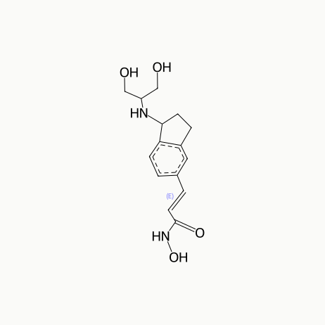 O=C(/C=C/c1ccc2c(c1)CCC2NC(CO)CO)NO